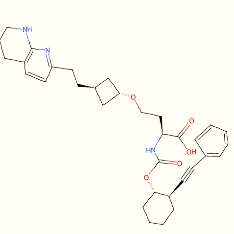 O=C(N[C@@H](CCO[C@H]1C[C@H](CCc2ccc3c(n2)NCCC3)C1)C(=O)O)O[C@H]1CCCC[C@@H]1C#Cc1ccccc1